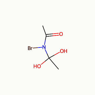 CC(=O)N(Br)C(C)(O)O